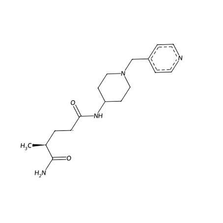 C[C@@H](C[CH]C(=O)NC1CCN(Cc2ccncc2)CC1)C(N)=O